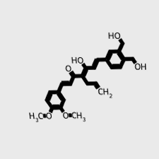 C=CC/C(C(=O)/C=C/c1ccc(OC)c(OC)c1)=C(O)\C=C\c1ccc(CO)c(CO)c1